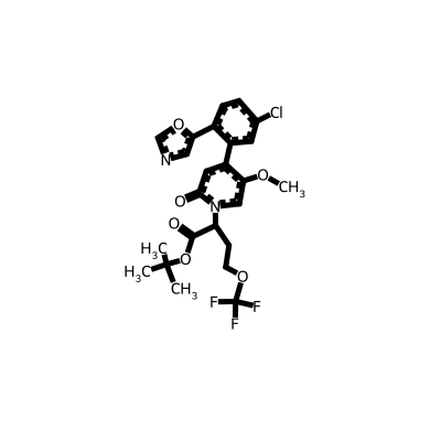 COc1cn(C(CCOC(F)(F)F)C(=O)OC(C)(C)C)c(=O)cc1-c1cc(Cl)ccc1-c1cnco1